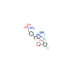 Cl.Nc1nc(O[C@H](c2ccc(Cl)cc2C2=COCCC2)C(F)(F)F)c2scc(-c3ccc(CC(N)C(=O)O)cc3)c2n1